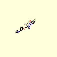 Cn1c(NCCCOc2cccc(CN3CCCC3)c2)nc2ccc(Cl)cc2c1=O